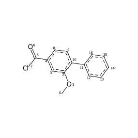 COc1cc(C(=O)Cl)ccc1-c1ccccc1